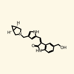 O=C1Nc2ccc(CO)cc2C1=Cc1cc(CN2C[C@H]3C[C@H]3C2)c[nH]1